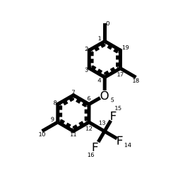 Cc1ccc(Oc2ccc(C)cc2C(F)(F)F)c(C)c1